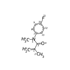 C=C(C)C(=O)N(C)c1ccc(F)cc1